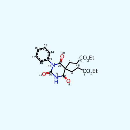 CCOC(=O)CCC1(CCC(=O)OCC)C(=O)NC(=O)N(c2ccccc2)C1=O